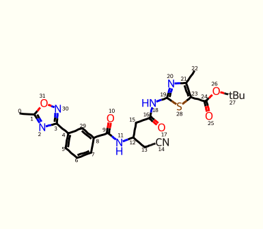 Cc1nc(-c2cccc(C(=O)NC(CC#N)CC(=O)Nc3nc(C)c(C(=O)OC(C)(C)C)s3)c2)no1